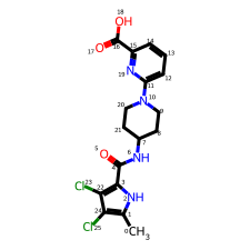 Cc1[nH]c(C(=O)NC2CCN(c3cccc(C(=O)O)n3)CC2)c(Cl)c1Cl